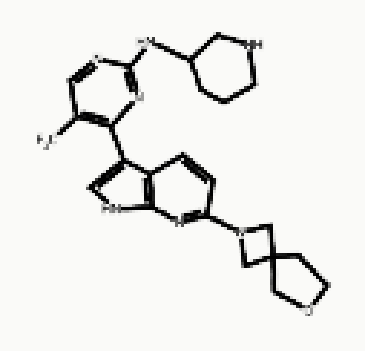 FC(F)(F)c1cnc(NC2CCCNC2)nc1-c1c[nH]c2nc(N3CC4(CCOC4)C3)ccc12